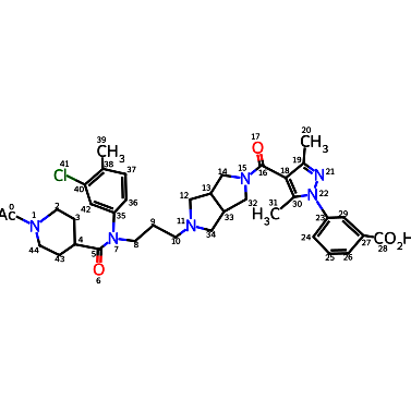 CC(=O)N1CCC(C(=O)N(CCCN2CC3CN(C(=O)c4c(C)nn(-c5cccc(C(=O)O)c5)c4C)CC3C2)c2ccc(C)c(Cl)c2)CC1